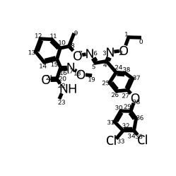 CCON=C(C=NOC(C)c1ccccc1C(=NOC)C(=O)NC)c1ccc(Oc2ccc(Cl)c(Cl)c2)cc1